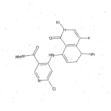 CCCC1CC=C(Nc2cc(Cl)ncc2C(=O)NC)c2c1c(F)cn(CC)c2=O